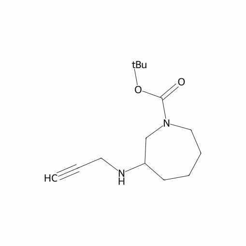 C#CCNC1CCCCN(C(=O)OC(C)(C)C)C1